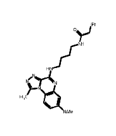 CNc1ccc2c(c1)nc(NCCCCNC(=O)CC(C)C)c1nnc(C)n12